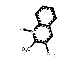 Nc1cc2ccccc2[n+]([O-])c1C(=O)O